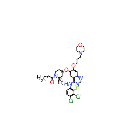 C=CC(=O)N1CC[C@H](Oc2cc3c(Nc4ccc(Cl)c(Cl)c4F)ncnc3cc2OCCCN2CCOCC2)C[C@H]1CC